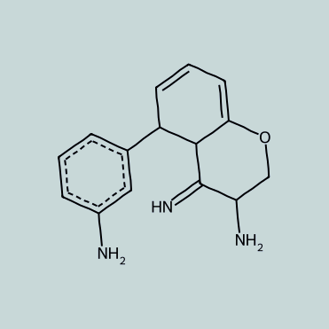 N=C1C(N)COC2=CC=CC(c3cccc(N)c3)C12